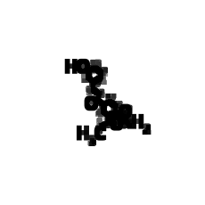 CCCc1cc(C(=O)/C=C/c2cccc(O)c2)ccc1S(N)(=O)=O